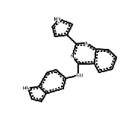 c1ccc2c(Nc3ccc4[nH]ccc4c3)nc(-c3cc[nH]c3)nc2c1